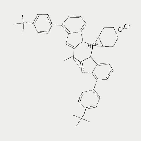 CCC1=Cc2c(-c3ccc(C(C)(C)C)cc3)cccc2[CH]1[Hf+2]1([CH]2C(CC)=Cc3c(-c4ccc(C(C)(C)C)cc4)cccc32)[CH]2CCCC[CH]21.[Cl-].[Cl-]